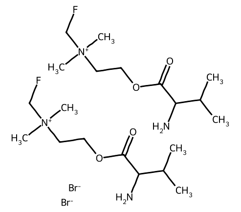 CC(C)C(N)C(=O)OCC[N+](C)(C)CF.CC(C)C(N)C(=O)OCC[N+](C)(C)CF.[Br-].[Br-]